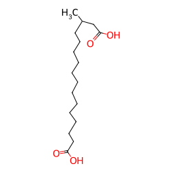 CC(CCCCCCCCCCCCC(=O)O)CC(=O)O